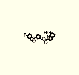 O=C(OCc1cccc(B2OCc3cc(F)ccc32)c1)c1ccc2cccc(O)c2n1